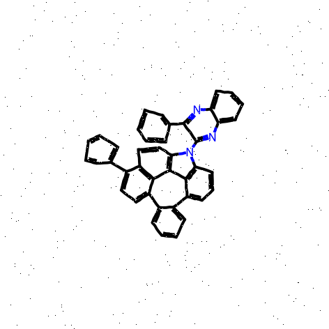 c1ccc(-c2nc3ccccc3nc2-n2c3cccc4c3c3c5c(ccc(-c6ccccc6)c5ccc32)-c2ccccc2-4)cc1